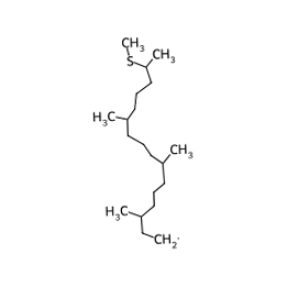 [CH2]CC(C)CCCC(C)CCCC(C)CCCC(C)SC